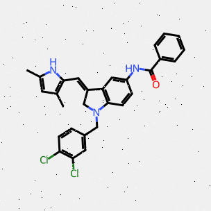 Cc1cc(C)c(/C=C2\CN(Cc3ccc(Cl)c(Cl)c3)c3ccc(NC(=O)c4ccccc4)cc32)[nH]1